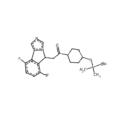 CC(C)(C)[Si](C)(C)OC1CCC(C(=O)CC2c3c(F)ccc(F)c3-c3cncn32)CC1